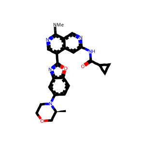 CNc1ncc(-c2nc3cc(N4CCOC[C@@H]4C)ccc3o2)c2cc(NC(=O)C3CC3)ncc12